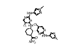 Cn1cc(Nc2ncc(Cl)c(N[C@@H]3CCC[C@H](C(N)=O)[C@H]3c3nc(Nc4cnn(C)c4)ncc3Cl)n2)cn1